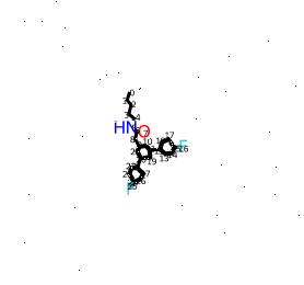 CCCCCNC(=O)Cc1cc(-c2ccc(F)cc2)cc(-c2ccc(F)cc2)c1